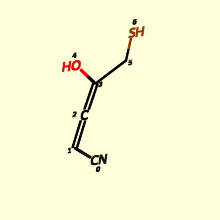 N#CC=C=C(O)CS